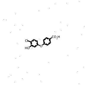 O=C(O)c1ccc(Oc2ccc(Cl)c(O)c2)cc1